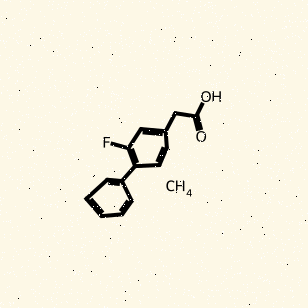 C.O=C(O)Cc1ccc(-c2ccccc2)c(F)c1